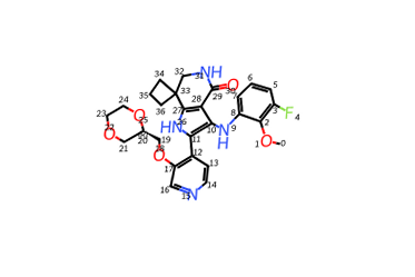 COc1c(F)cccc1Nc1c(-c2ccncc2OC[C@H]2COCCO2)[nH]c2c1C(=O)NCC21CCC1